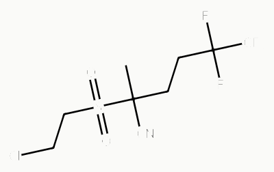 CC(C#N)(CCC(F)(F)C(F)(F)F)S(=O)(=O)CCCl